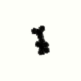 c1ccc(-c2nc(-c3ccccc3)nc(-c3ccc(-c4ccc(-c5c(-c6ccccc6)n6nc(-c7ccccc7)c(-c7ccccc7)c6c6ccccc56)cc4)cc3)n2)cc1